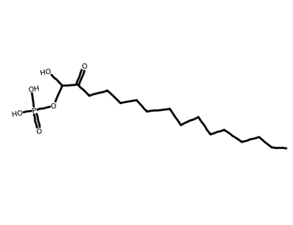 CCCCCCCCCCCCCCC(=O)C(O)OP(=O)(O)O